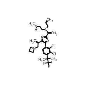 C=CCN(CCNC)C(=C)c1nc(C(=C)CN2CCC2)c(-c2ccc(C(C)(C)C(F)(F)F)c(Cl)c2Cl)s1